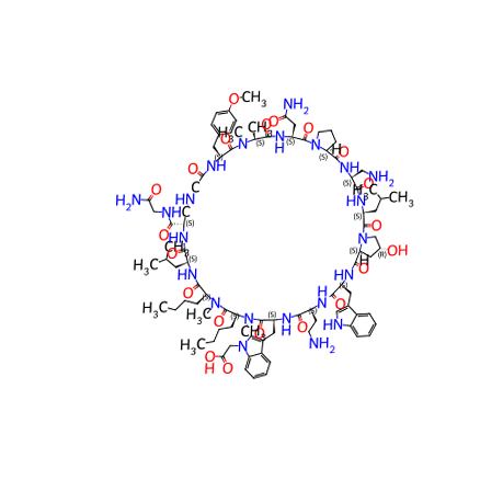 CCCC[C@H]1C(=O)N(C)[C@@H](CCCC)C(=O)N[C@@H](CC(C)C)C(=O)N[C@H](C(=O)NCC(N)=O)CNCC(=O)N[C@@H](Cc2ccc(OC)cc2)C(=O)N(C)[C@@H](C)C(=O)N[C@@H](CC(N)=O)C(=O)N2CCC[C@H]2C(=O)N[C@@H](CN)C(=O)N[C@@H](CC(C)C)C(=O)N2C[C@H](O)C[C@H]2C(=O)N[C@@H](Cc2c[nH]c3ccccc23)C(=O)N[C@@H](CCN)C(=O)N[C@@H](Cc2cn(CC(=O)O)c3ccccc23)C(=O)N1C